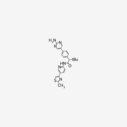 Cc1nc(-c2ccc(NC(=O)C(c3ccc(-c4cnc(N)nc4)cc3)C(C)(C)C)nc2)cs1